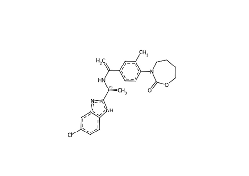 C=C(N[C@@H](C)c1nc2cc(Cl)ccc2[nH]1)c1ccc(N2CCCCOC2=O)c(C)c1